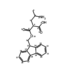 CC(N)CC(C(=O)O)C(=O)OCC1c2ccccc2-c2ccccc21